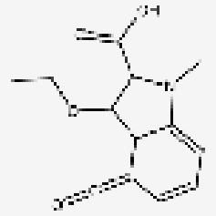 CCOC1C2C(=C=O)C=CC=C2N(C)C1C(=O)O